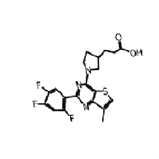 Cc1csc2c(N3CCC(CCC(=O)O)C3)nc(-c3cc(F)c(F)cc3F)nc12